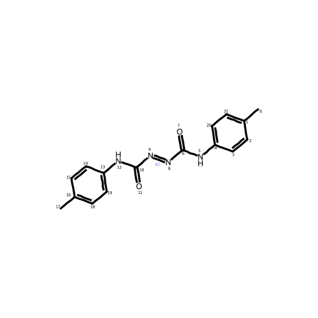 Cc1ccc(NC(=O)/N=N/C(=O)Nc2ccc(C)cc2)cc1